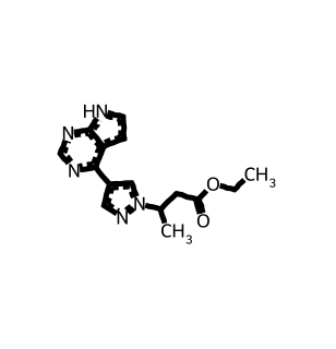 CCOC(=O)CC(C)n1cc(-c2ncnc3[nH]ccc23)cn1